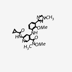 COc1c(Nc2cc(NC(=O)C3CC3)ncc2C(=O)N(C)OC)cccc1-c1ncn(C)n1